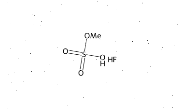 COS(=O)(=O)O.F